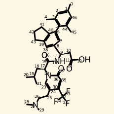 Cc1cc(C)c(-c2cc([C@@H](CC(=O)O)NC(=O)[C@H](CC(C)C)n3cc(CCN(C)C)c(C(F)(F)F)cc3=O)cc3c2CCC3)c(C)c1